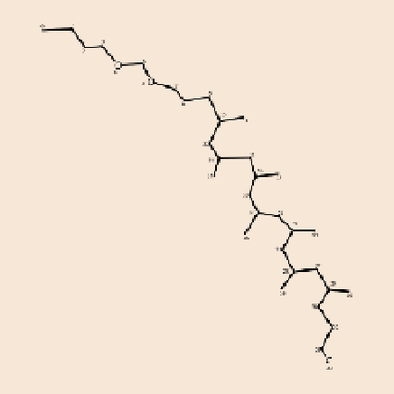 CCCCOCOCCCC(C)CC(C)CC(C)CC(C)CC(C)CC(C)CC(C)CCCCl